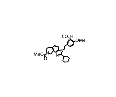 COC(=O)N1CCc2ccc3c(nc(C4CCCCC4)n3CCc3ccc(OC)c(C(=O)O)c3)c2C1